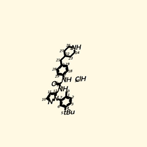 Cc1ccc(C(C)(C)C)cc1-n1nccc1NC(=O)Nc1ccc(CC2CCNCC2)cc1.Cl